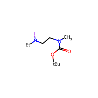 CCN(I)CCN(C)C(=O)OC(C)(C)C